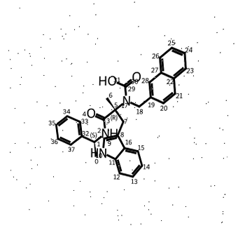 C[C@H](NC(=O)[C@@](C)(Cc1c[nH]c2ccccc12)N(Cc1ccc2ccccc2c1)C(=O)O)c1ccccc1